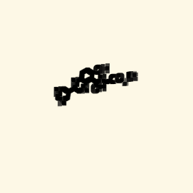 CCOC(=O)CNC(=O)c1c(O)ccc2nc(-c3cncnc3)cnc12